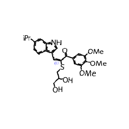 COc1cc(C(=O)/C(=C\c2c[nH]c3cc(C(C)C)ccc23)SCC(O)CO)cc(OC)c1OC